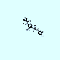 O=C(COc1ccc(Cl)c(F)c1)NC12CCC(NC(=O)c3ccsc3)(CC1)CC2O